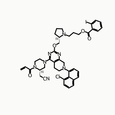 C=CC(=O)N1CCN(c2nc(OC[C@@H]3CCCN3CCCOC(=O)c3ccccc3I)nc3c2CCN(c2cccc4cccc(Cl)c24)C3)C[C@@H]1CC#N